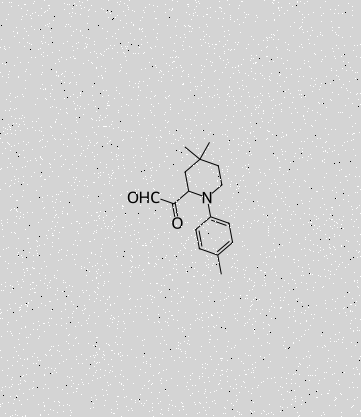 Cc1ccc(N2CCC(C)(C)CC2C(=O)C=O)cc1